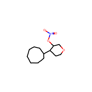 O=[N+]([O-])OC1COCCC1C1CCCCCCC1